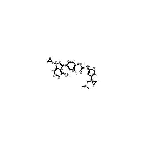 CN(C)CC1(c2cc(NC(=O)Nc3ccc(-c4cn(C5CC5)c5ncnc(N)c45)cc3F)on2)CC1